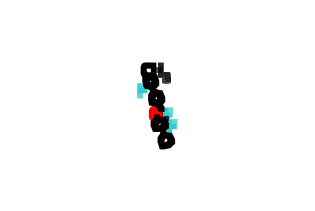 Cc1ccc(-c2ccc(COc3ccc(C4CCCCC4)c(F)c3F)cc2)c(F)c1